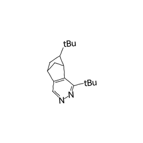 CC(C)(C)c1nncc2c1C1CC2CC1C(C)(C)C